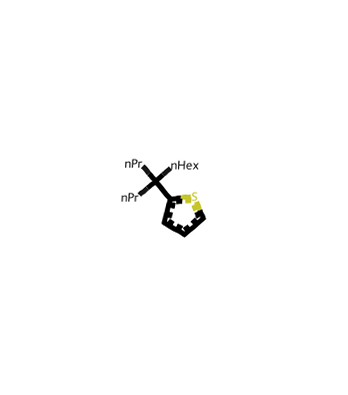 CCCCCCC(CCC)(CCC)c1cccs1